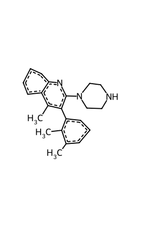 Cc1cccc(-c2c(N3CCNCC3)nc3ccccc3c2C)c1C